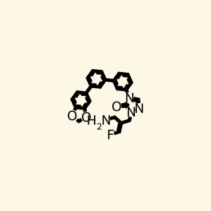 NC/C(=C\F)Cn1ncn(-c2cccc(-c3cccc(-c4ccc5c(c4)OCO5)c3)c2)c1=O